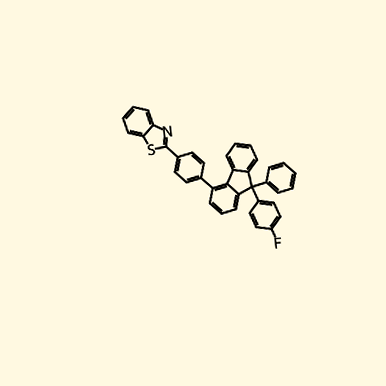 Fc1ccc(C2(c3ccccc3)c3ccccc3-c3c(-c4ccc(-c5nc6ccccc6s5)cc4)cccc32)cc1